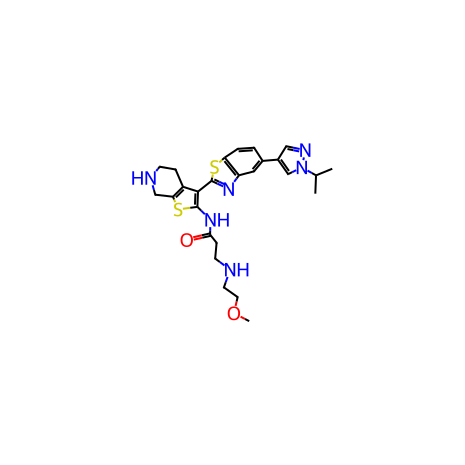 COCCNCCC(=O)Nc1sc2c(c1-c1nc3cc(-c4cnn(C(C)C)c4)ccc3s1)CCNC2